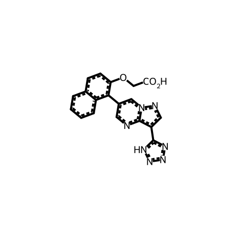 O=C(O)COc1ccc2ccccc2c1-c1cnc2c(-c3nnn[nH]3)cnn2c1